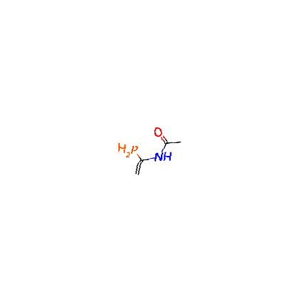 C=C(P)NC(C)=O